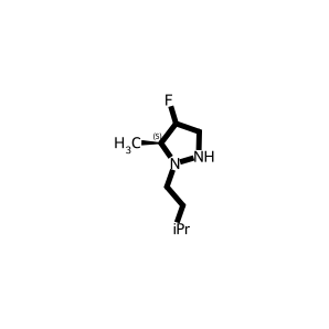 CC(C)CCN1NCC(F)[C@@H]1C